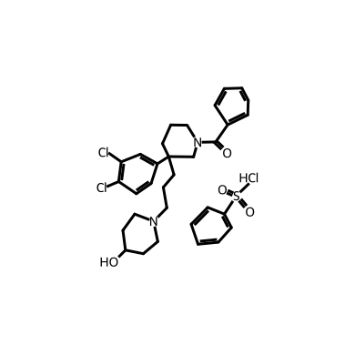 CS(=O)(=O)c1ccccc1.Cl.O=C(c1ccccc1)N1CCCC(CCCN2CCC(O)CC2)(c2ccc(Cl)c(Cl)c2)C1